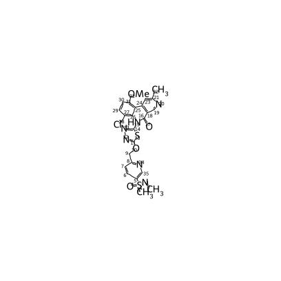 CN=[S@](C)(=O)c1ccc(COc2nnc(NC(=O)c3cnc(C)cc3-c3cc(Cl)ccc3OC)s2)nc1